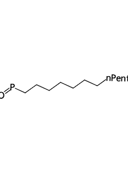 CCCCCCCCCCCCP=O